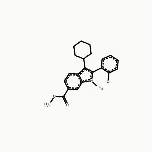 COC(=O)c1ccc2c(C3CCCCC3)c(-c3ccccc3[O])n(C)c2c1